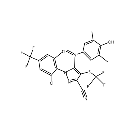 C=[N+](c1cc(C)c(O)c(C)c1)c1c(SC(F)(F)F)c(C#N)nn1-c1c(Cl)cc(C(F)(F)F)cc1Cl